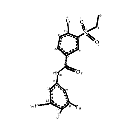 CCS(=O)(=O)c1cc(C(=O)Nc2cc(F)c(F)c(F)c2)ccc1Cl